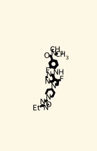 CCc1noc(N2CCC(n3cc(F)c4c(Nc5ccc(C(=O)N(C)C)cc5F)ncnc43)CC2)n1